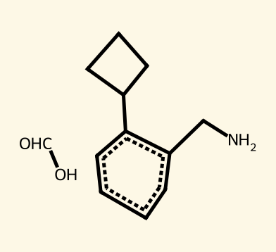 NCc1ccccc1C1CCC1.O=CO